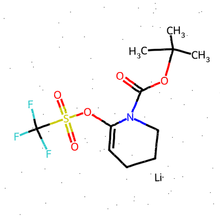 CC(C)(C)OC(=O)N1CCCC=C1OS(=O)(=O)C(F)(F)F.[Li]